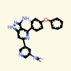 [C-]#[N+]c1cncc(-c2cc3[nH]nc(N)c3c(-c3ccc(Oc4ccccc4)cc3)n2)c1